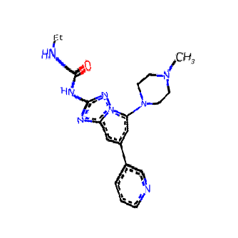 CCNC(=O)Nc1nc2cc(-c3cccnc3)cc(N3CCN(C)CC3)n2n1